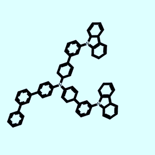 C1=CC2C3=C(CCC=C3)N(c3cccc(C4=CCC(N(C5=CCC(c6cccc(N7C8=C(C=CCC8)C8C=CC=CC87)c6)C=C5)c5ccc(-c6cccc(-c7ccccc7)c6)cc5)C=C4)c3)C2C=C1